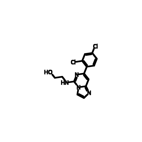 OCCNc1nc(-c2ccc(Cl)cc2Cl)cc2nccn12